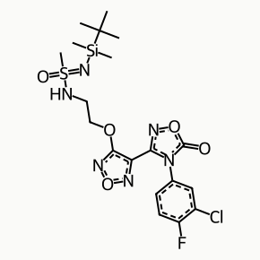 CC(C)(C)[Si](C)(C)N=S(C)(=O)NCCOc1nonc1-c1noc(=O)n1-c1ccc(F)c(Cl)c1